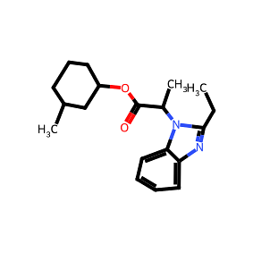 CCc1nc2ccccc2n1C(C)C(=O)OC1CCCC(C)C1